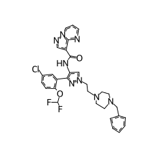 O=C(Nc1cn(CCN2CCN(Cc3ccccc3)CC2)nc1-c1cc(Cl)ccc1OC(F)F)c1cnn2cccnc12